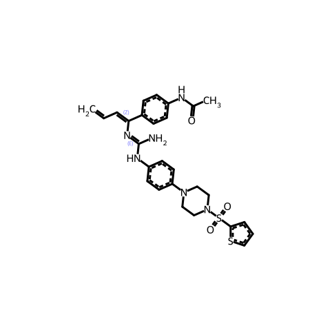 C=C/C=C(\N=C(/N)Nc1ccc(N2CCN(S(=O)(=O)c3cccs3)CC2)cc1)c1ccc(NC(C)=O)cc1